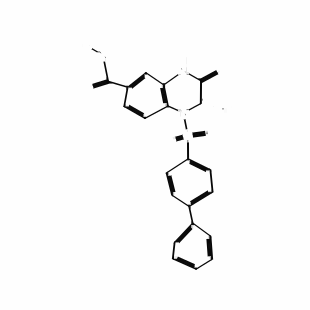 CC(C)[C@H]1C(=O)Nc2cc(C(=O)NO)ccc2N1S(=O)(=O)c1ccc(-c2ccccc2)cc1